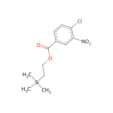 C[Si](C)(C)CCOC(=O)c1ccc(Cl)c([N+](=O)[O-])c1